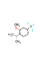 COc1cc(C(F)(F)F)ccc1C(C)C